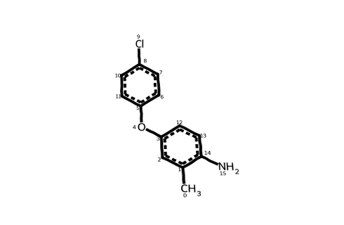 Cc1cc(Oc2ccc(Cl)cc2)ccc1N